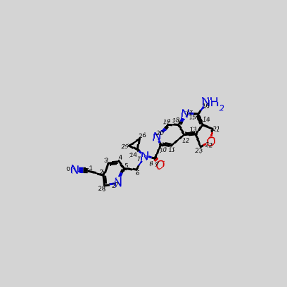 N#Cc1ccc(CN(C(=O)c2cc3c4c(c(N)nc3cn2)COC4)C2CC2)nc1